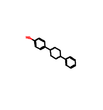 Oc1ccc(C2CCC(c3ccccc3)CC2)cc1